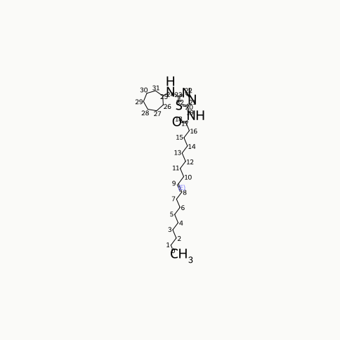 CCCCCCCC/C=C/CCCCCCCC(=O)Nc1nnc(NC2CCCCCC2)s1